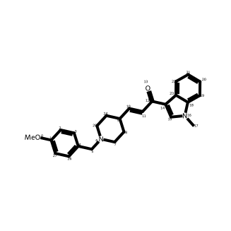 COc1ccc(CN2CCC(/C=C/C(=O)c3cn(C)c4ccccc34)CC2)cc1